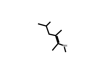 CN/C(C)=C(\C)CC(C)C